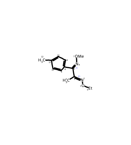 CCO/N=C(C)/C(=N/OC)c1ccc(C)cc1